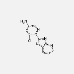 Nc1cnc(-n2nc3cccnc3n2)c(Cl)c1